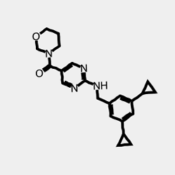 O=C(c1cnc(NCc2cc(C3CC3)cc(C3CC3)c2)nc1)N1CCCOC1